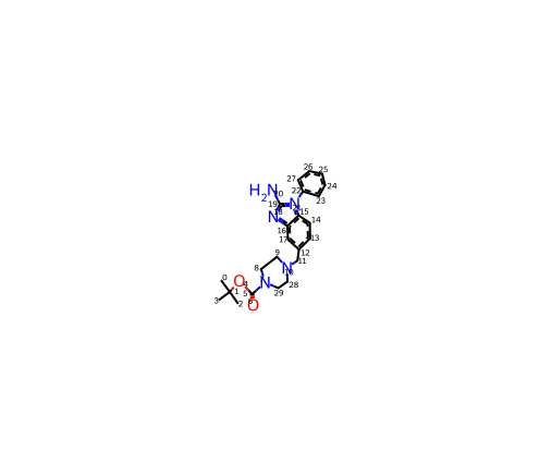 CC(C)(C)OC(=O)N1CCN(Cc2ccc3c(c2)nc(N)n3-c2ccccc2)CC1